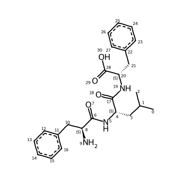 CC(C)C[C@H](NC(=O)[C@@H](N)Cc1ccccc1)C(=O)N[C@@H](Cc1ccccc1)C(=O)O